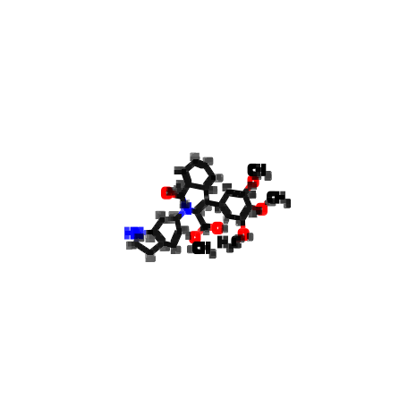 COC(=O)c1c(-c2cc(OC)c(OC)c(OC)c2)c2ccccc2c(=O)n1-c1ccc2c(c1)NCC2